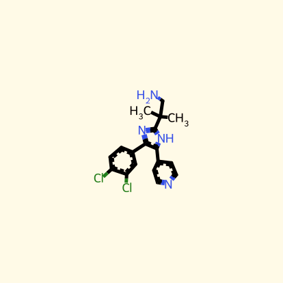 CC(C)(CN)c1nc(-c2ccc(Cl)c(Cl)c2)c(-c2ccncc2)[nH]1